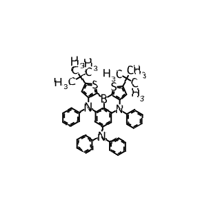 CC(C)(C)c1cc2c(s1)B1c3sc(C(C)(C)C)cc3N(c3ccccc3)c3cc(N(c4ccccc4)c4ccccc4)cc(c31)N2c1ccccc1